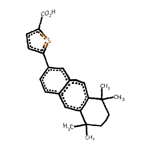 CC1(C)CCC(C)(C)c2cc3cc(-c4ccc(C(=O)O)s4)ccc3cc21